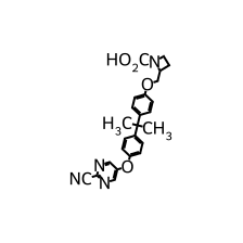 CC(C)(c1ccc(OCC2CCN2C(=O)O)cc1)c1ccc(Oc2cnc(C#N)nc2)cc1